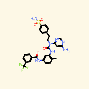 Cc1ccc(NC(=O)c2cccc(C(F)(F)F)c2)cc1NC(=O)N(CCc1ccc(S(N)(=O)=O)cc1)c1cc(N)ncn1